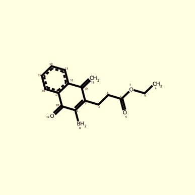 BC1=C(CCC(=O)OCC)C(=C)c2ccccc2C1=O